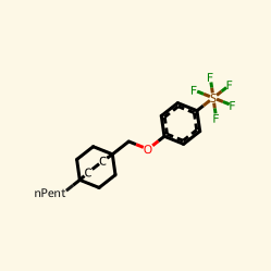 CCCCCC12CCC(COc3ccc(S(F)(F)(F)(F)F)cc3)(CC1)CC2